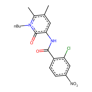 CCCCn1c(C)c(C)cc(NC(=O)c2ccc([N+](=O)[O-])cc2Cl)c1=O